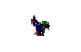 C=CC(=O)N1C[C@H](C)N(c2nc(=O)n(-c3c(C)cccc3S(C)(=O)=O)c3nc(-c4c(F)cccc4Cl)c(F)cc23)C[C@@H]1C